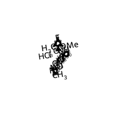 COc1cc(F)cc(C)c1C(=O)NCC1(N2CCN(S(=O)(=O)c3cn(C)nn3)CC2)CCCC1.Cl